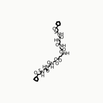 N=C(CCC(=O)OC(=O)CNC(=O)CNC(=O)CNC(=S)CC(=O)c1ccccc1)OC(=O)CNC(=O)CNC(=O)CNC(=S)CC(=O)c1ccccc1